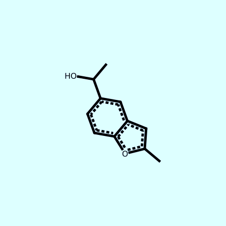 Cc1cc2cc(C(C)O)ccc2o1